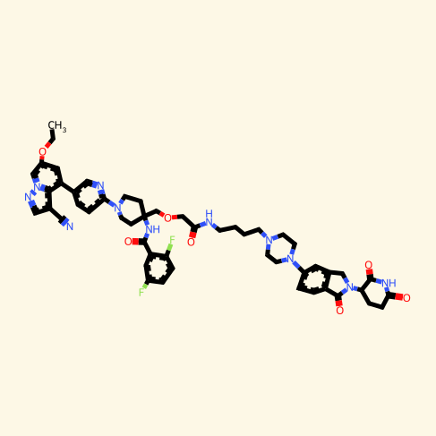 CCOc1cc(-c2ccc(N3CCC(COCC(=O)NCCCCN4CCN(c5ccc6c(c5)CN(C5CCC(=O)NC5=O)C6=O)CC4)(NC(=O)c4cc(F)ccc4F)CC3)nc2)c2c(C#N)cnn2c1